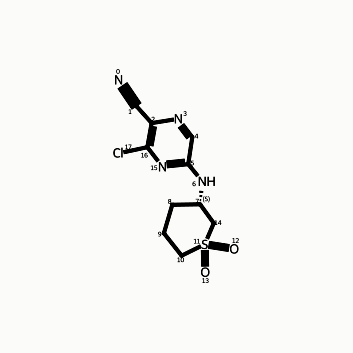 N#Cc1ncc(N[C@H]2CCCS(=O)(=O)C2)nc1Cl